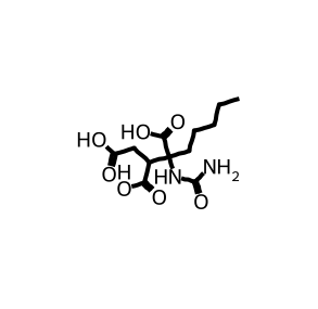 CCCCCC(NC(N)=O)(C(=O)O)C(CC(=O)O)C(=O)O